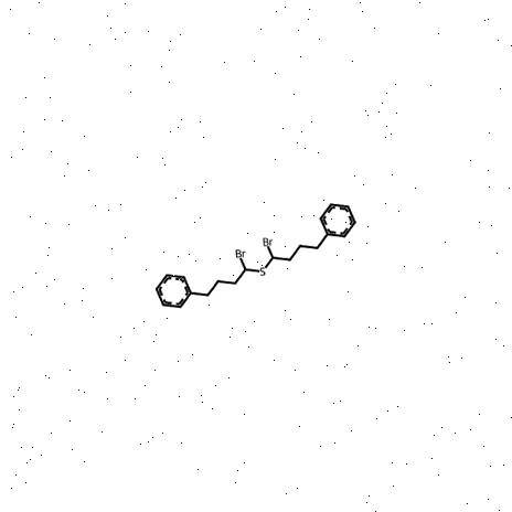 BrC(CCCc1ccccc1)SC(Br)CCCc1ccccc1